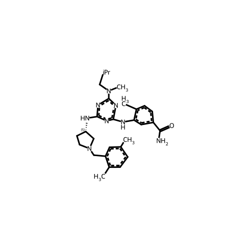 Cc1ccc(C)c(CN2CC[C@H](Nc3nc(Nc4cc(C(N)=O)ccc4C)nc(N(C)CC(C)C)n3)C2)c1